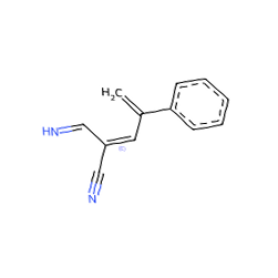 C=C(/C=C(/C#N)C=N)c1ccccc1